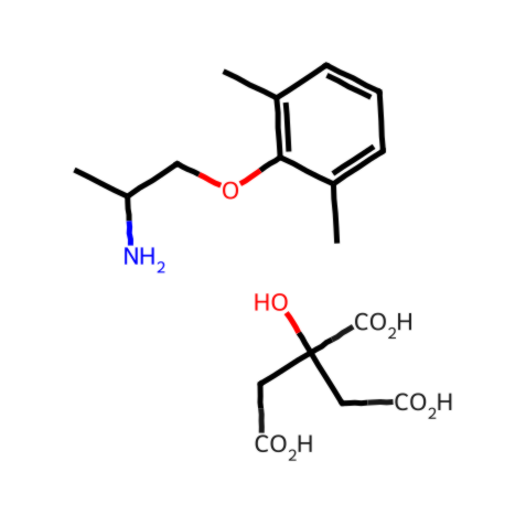 Cc1cccc(C)c1OCC(C)N.O=C(O)CC(O)(CC(=O)O)C(=O)O